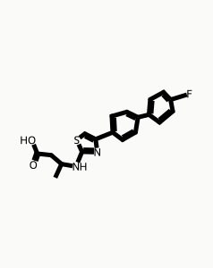 CC(CC(=O)O)Nc1nc(-c2ccc(-c3ccc(F)cc3)cc2)cs1